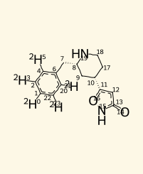 [2H]c1c([2H])c([2H])c(C[C@H]2C[C@@H](c3cc(=O)[nH]o3)CCN2)c([2H])c1[2H]